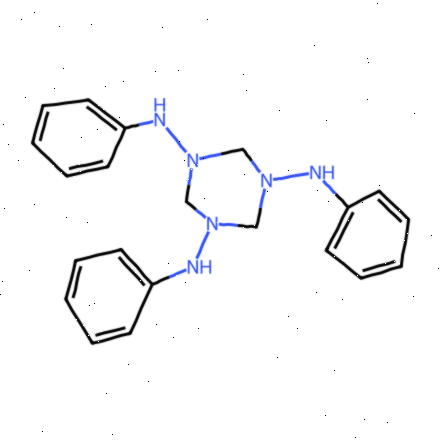 c1ccc(NN2CN(Nc3ccccc3)CN(Nc3ccccc3)C2)cc1